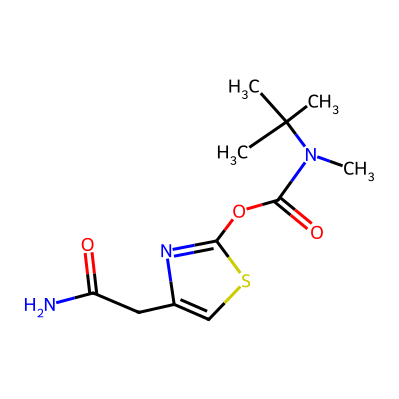 CN(C(=O)Oc1nc(CC(N)=O)cs1)C(C)(C)C